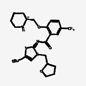 CC(C)(C)c1cn(CC2CCCO2)c(=NC(=O)c2cc(C(F)(F)F)ccc2OC[C@@H]2CCCCN2)s1